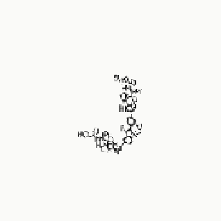 COC(=O)N[C@H](C(=O)N1CCC[C@@H]1c1ncc(-c2ccc3c(c2)OCCn2c-3c(F)c3cc(-c4cnc([C@H]5CCCN5C(=O)[C@@H](NC(=O)CO)C(C)C)[nH]4)ccc32)[nH]1)C(C)C